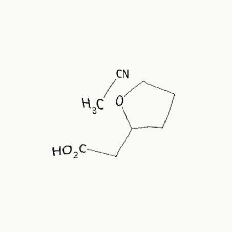 CC#N.O=C(O)CC1CCCO1